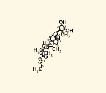 C=C(/C=C/[C@@H](O)C(C)(C)OC(=O)OCCCC)[C@H]1CC[C@H]2/C(=C/C=C3/C[C@@H](O)C[C@H](O)C3=C)CCC[C@]12C